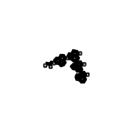 O=C1C=Cc2cccc3cccc1c23.O=C1C=Cc2cccc3cccc1c23.O=C1C=Cc2cccc3cccc1c23.O=C1C=Cc2cccc3cccc1c23.O=CC(=O)C=O